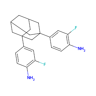 Nc1ccc(C23CC4CC(C2)CC(c2ccc(N)c(F)c2)(C4)C3)cc1F